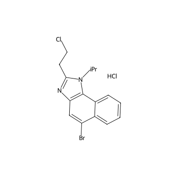 CC(C)n1c(CCCl)nc2cc(Br)c3ccccc3c21.Cl